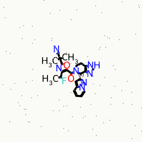 CC(F)c1nc(C(C)(C)C#N)oc1C(=O)N1CCc2[nH]cnc2[C@@H]1c1cc2ccccn2n1